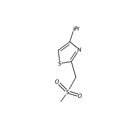 CC(C)c1csc(CS(C)(=O)=O)n1